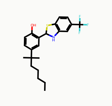 CCCCCC(C)(C)c1ccc(O)c(C2Nc3cc(C(F)(F)F)ccc3S2)c1